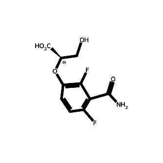 NC(=O)c1c(F)ccc(O[C@H](CO)C(=O)O)c1F